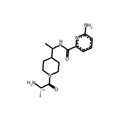 CC(NC(=O)c1cccc(N)n1)C1CCN(C(=O)[C@H](C)N)CC1